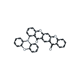 O=c1c2ccccc2oc2cc3oc4cccc(N5c6ccccc6Oc6ccccc65)c4c(=O)c3cc12